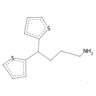 NCCCC(c1cccs1)c1cccs1